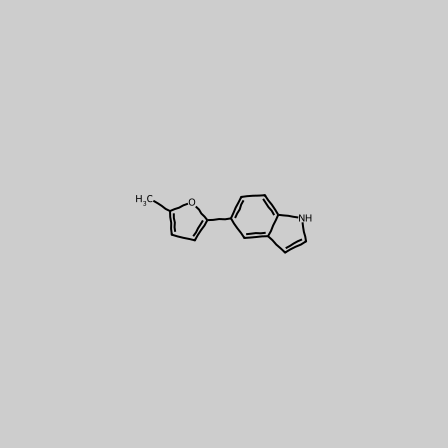 Cc1ccc(-c2ccc3[nH]ccc3c2)o1